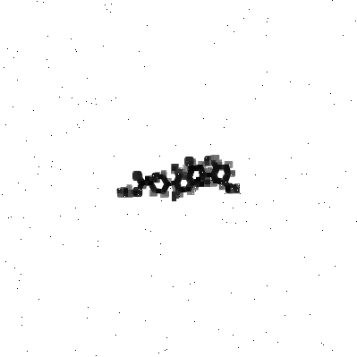 CC(C)(C)OC(=O)N1CCC(c2c(F)cc3[nH]c(-c4cc(C#N)ccc4Cl)cc(=O)c3c2F)CC1